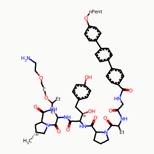 CCCCCOc1ccc(-c2ccc(-c3ccc(C(=O)NCC(=O)NC(CC)C(=O)N4CCCC4C(=O)NC(C(=O)NC(CC)C(=O)N4C[C@H](C)CC4C(=O)NC(CC)OCCOCCN)[C@H](O)Cc4ccc(O)cc4)cc3)cc2)cc1